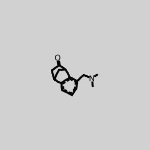 CN(C)Cc1cccc2c1C1CC2CC1=O